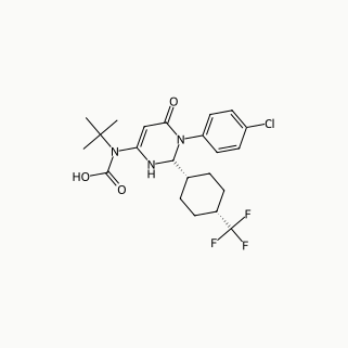 CC(C)(C)N(C(=O)O)C1=CC(=O)N(c2ccc(Cl)cc2)C([C@H]2CC[C@@H](C(F)(F)F)CC2)N1